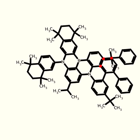 CC(C)c1cc2c3c(c1)N(c1ccc(C(C)(C)C)cc1-c1ccccc1-c1ccccc1)c1cc(C(C)(C)c4ccccc4)ccc1B3c1cc3c(cc1N2c1ccc2c(c1)C(C)(C)CCC2(C)C)C(C)(C)CCC3(C)C